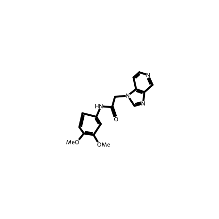 COc1ccc(NC(=O)Cn2cnc3cnccc32)cc1OC